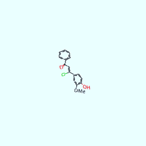 COc1cc(C(Cl)=CC(=O)c2ccccc2)ccc1O